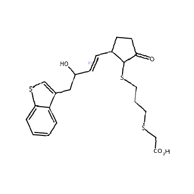 O=C(O)CSCCCSC1C(=O)CCC1/C=C/C(O)Cc1csc2ccccc12